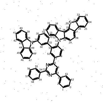 c1ccc(-c2cc(-c3ccc(-n4c5ccccc5c5c6sc7ccccc7c6ccc54)c(-c4cccc(-n5c6ccccc6c6ccccc65)c4)c3)nc(-c3ccccc3)n2)cc1